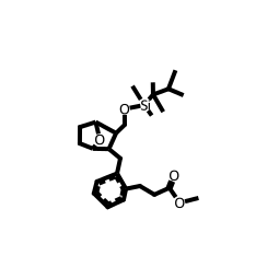 COC(=O)CCc1ccccc1CC1C2CCC(O2)C1CO[Si](C)(C)C(C)(C)C(C)C